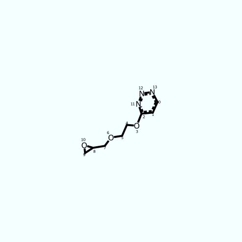 c1cc(OCCOCC2CO2)nnn1